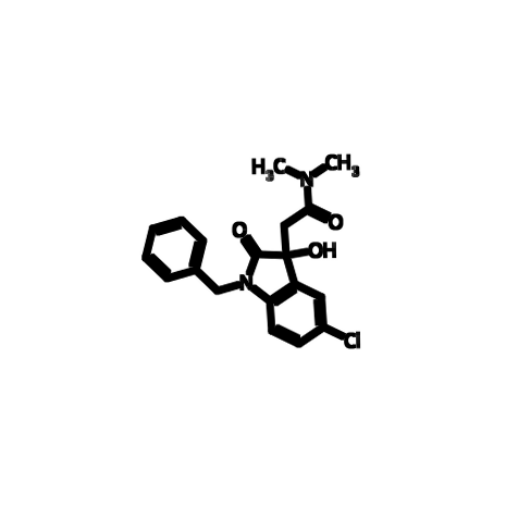 CN(C)C(=O)CC1(O)C(=O)N(Cc2ccccc2)c2ccc(Cl)cc21